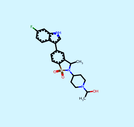 CC(O)N1CCC(N2C(C)c3cc(-c4c[nH]c5cc(F)ccc45)ccc3S2(=O)=O)CC1